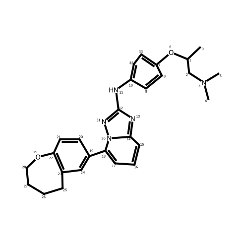 CC(CN(C)C)Oc1ccc(Nc2nc3cccc(-c4ccc5c(c4)CCCCO5)n3n2)cc1